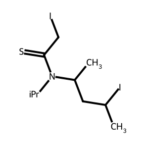 CC(I)CC(C)N(C(=S)CI)C(C)C